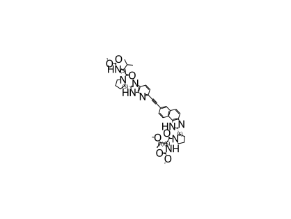 COC(=O)N[C@H](C(=O)N1CCC[C@H]1c1nc2ccc(C#Cc3ccc4c(ccc5nc([C@@H]6CCCN6C(=O)[C@@H](NC(=O)OC)[C@@H](C)OC)[nH]c54)c3)nc2[nH]1)C(C)C